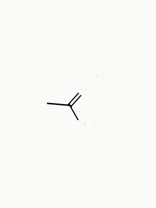 CC(=O)O.[BiH3].[La]